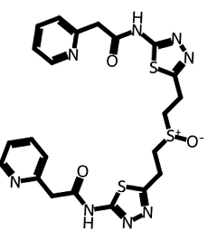 O=C(Cc1ccccn1)Nc1nnc(CC[S+]([O-])CCc2nnc(NC(=O)Cc3ccccn3)s2)s1